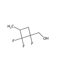 CC1CC(F)(CO)C1(F)F